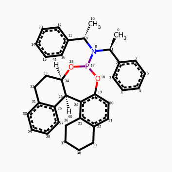 C[C@@H](c1ccccc1)N([C@@H](C)c1ccccc1)P1Oc2ccc3c(c2[C@H]2c4ccccc4CC[C@H]2O1)CCCC3